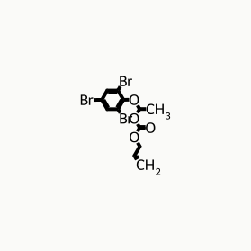 C=CCOC(=O)OC(C)Oc1c(Br)cc(Br)cc1Br